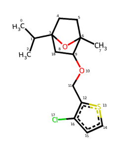 CC(C)C12CCC(C)(O1)C(OCc1sccc1Cl)C2